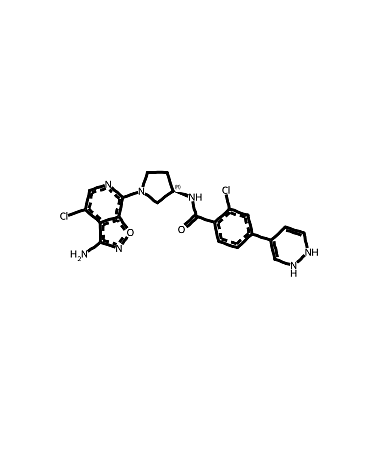 Nc1noc2c(N3CC[C@@H](NC(=O)c4ccc(C5=CNNC=C5)cc4Cl)C3)ncc(Cl)c12